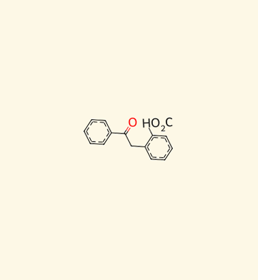 O=C(Cc1ccccc1C(=O)O)c1ccccc1